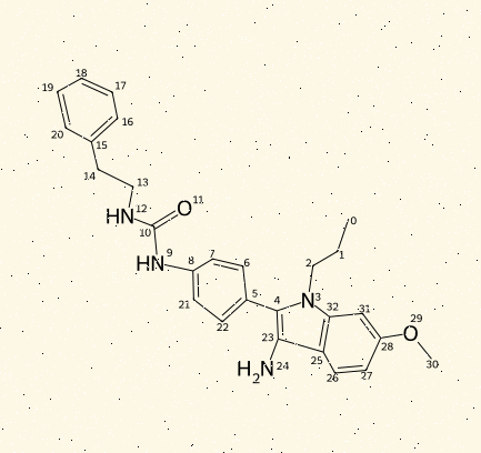 CCCn1c(-c2ccc(NC(=O)NCCc3ccccc3)cc2)c(N)c2ccc(OC)cc21